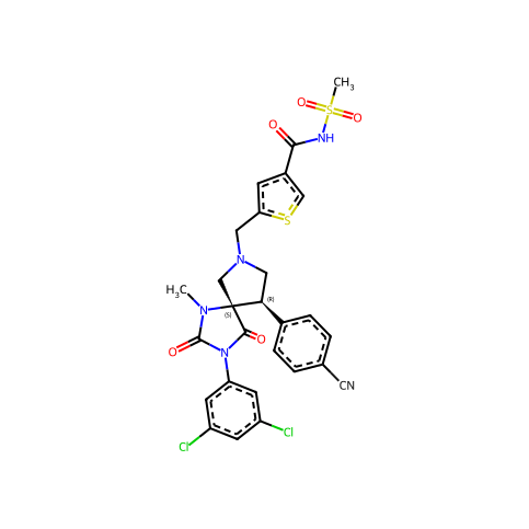 CN1C(=O)N(c2cc(Cl)cc(Cl)c2)C(=O)[C@]12CN(Cc1cc(C(=O)NS(C)(=O)=O)cs1)C[C@H]2c1ccc(C#N)cc1